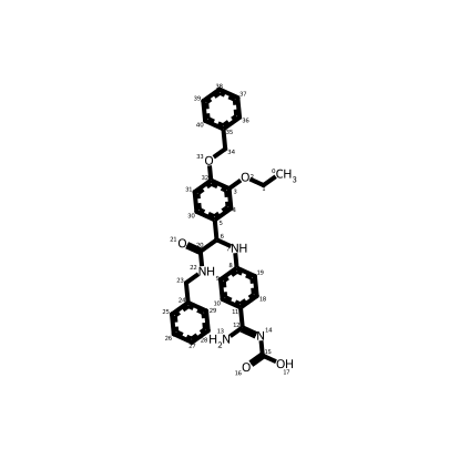 CCOc1cc(C(Nc2ccc(/C(N)=N/C(=O)O)cc2)C(=O)NCc2ccccc2)ccc1OCc1ccccc1